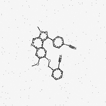 COc1cc2ncc3c(c(-c4ccc(C#N)cc4)nn3C)c2cc1OCc1ccccc1C#N